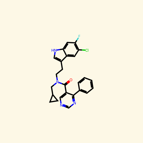 O=C(c1cncnc1-c1ccccc1)N(CCc1c[nH]c2cc(F)c(Cl)cc12)CC1CC1